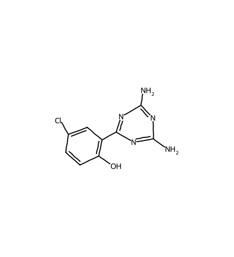 Nc1nc(N)nc(-c2cc(Cl)ccc2O)n1